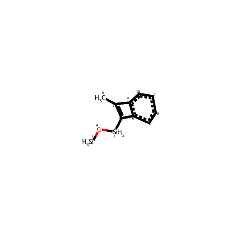 CC1=C([SiH2]O[SiH3])c2ccccc21